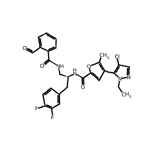 CCn1ncc(Cl)c1-c1cc(C(=O)N[C@H](CNC(=O)c2ccccc2C=O)Cc2ccc(F)c(F)c2)oc1C